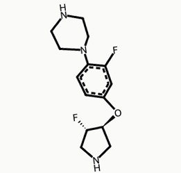 Fc1cc(O[C@H]2CNC[C@@H]2F)ccc1N1CCNCC1